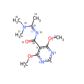 COc1ncnc(OC)c1C(=O)/N=C(/C)N(C)C